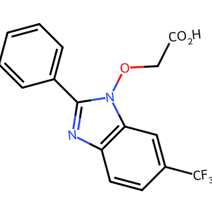 O=C(O)COn1c(-c2ccccc2)nc2ccc(C(F)(F)F)cc21